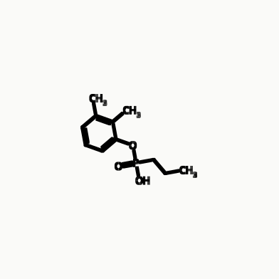 CCCP(=O)(O)Oc1cccc(C)c1C